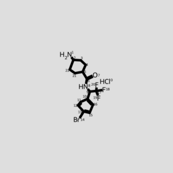 Cl.NC1CCC(C(=O)NC(c2ccc(Br)cc2)C(F)(F)F)CC1